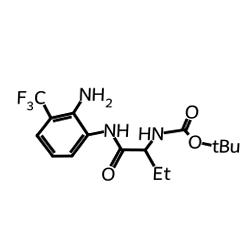 CCC(NC(=O)OC(C)(C)C)C(=O)Nc1cccc(C(F)(F)F)c1N